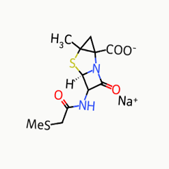 CSCC(=O)NC1C(=O)N2[C@@H]1SC1(C)CC21C(=O)[O-].[Na+]